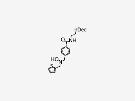 CCCCCCCCCCCCNC(=O)c1ccc(CN(O)Cc2cccs2)cc1